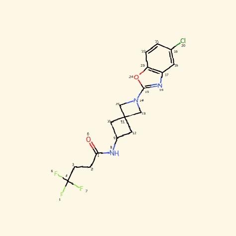 O=C(CCC(F)(F)F)NC1CC2(C1)CN(c1nc3cc(Cl)ccc3o1)C2